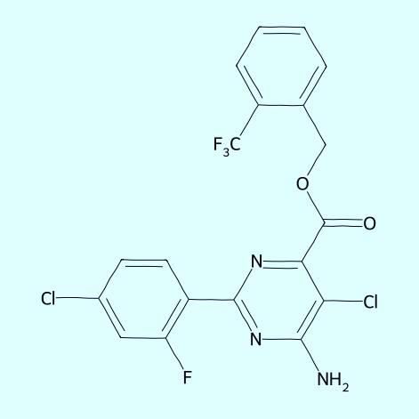 Nc1nc(-c2ccc(Cl)cc2F)nc(C(=O)OCc2ccccc2C(F)(F)F)c1Cl